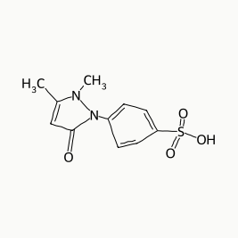 Cc1cc(=O)n(-c2ccc(S(=O)(=O)O)cc2)n1C